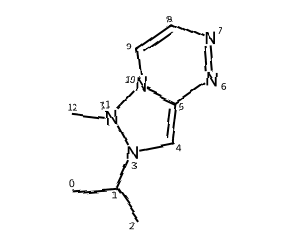 CC(C)N1C=C2N=NC=CN2N1C